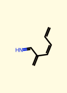 C=C/C=C\C(=C)C=N